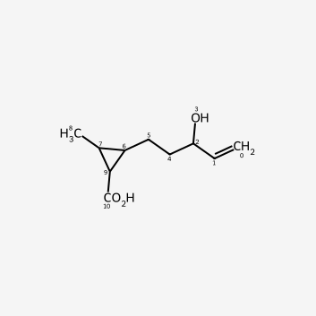 C=CC(O)CCC1C(C)C1C(=O)O